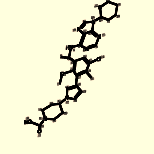 COc1c(C(C)Nc2ncnc3c2ncn3C2CCCCO2)cc(Cl)c(C)c1-c1ccn(C2CCN(C(=O)O)CC2)c1